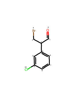 O=CC(CBr)c1cccc(Cl)c1